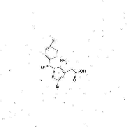 Nc1c(CC(=O)O)cc(Br)cc1C(=O)c1ccc(Br)cc1